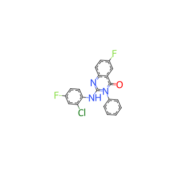 O=c1c2cc(F)ccc2nc(Nc2ccc(F)cc2Cl)n1-c1ccccc1